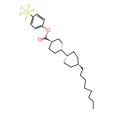 CCCCCCCC[C@H]1CC[C@H]([C@H]2CC[C@H](C(=O)Oc3ccc(S(F)(F)(F)(F)F)cc3)CC2)CC1